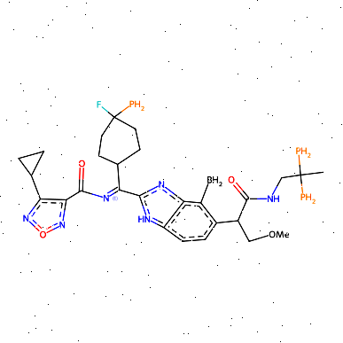 Bc1c(C(COC)C(=O)NCC(C)(P)P)ccc2[nH]c(/C(=N/C(=O)c3nonc3C3CC3)C3CCC(F)(P)CC3)nc12